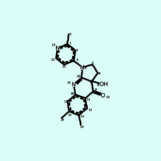 Cc1cc(N2CCC3(O)C(=O)c4cc(C)c(C)cc4N=C23)ccn1